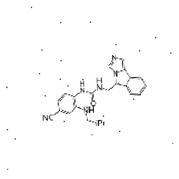 CC(C)CNc1cc(C#N)ccc1NC(=O)NCC1c2ccccc2-c2cncn21